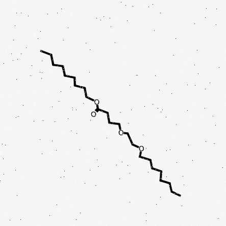 CCCCCCCCCOC(=O)CCCOCCOCCCCCCCC